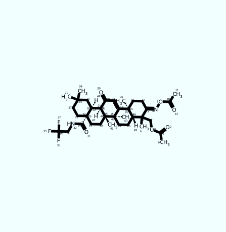 CC(=O)OCC1(C)C(=NOC(C)=O)CC[C@]2(C)C3=CC(=O)[C@@H]4[C@@H]5CC(C)(C)CC[C@]5(C(=O)NCC(F)(F)F)CC[C@@]4(C)[C@]3(C)CC[C@@H]12